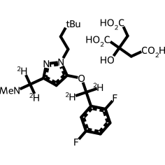 O=C(O)CC(O)(CC(=O)O)C(=O)O.[2H]C([2H])(NC)c1cc(OC([2H])([2H])c2cc(F)ccc2F)n(CCC(C)(C)C)n1